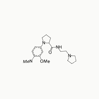 CNc1ccc(N2CCCC2C(=O)NCCN2CCCC2)cc1OC